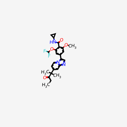 CCC(=O)C(C)(C)c1ccn2c(-c3cc(OC)c(C(=O)NC4CC4)c(OC(F)F)c3)cnc2c1